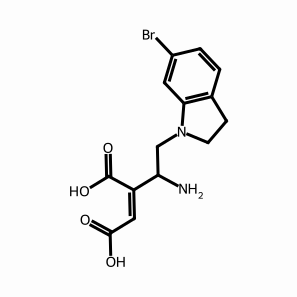 NC(CN1CCc2ccc(Br)cc21)/C(=C/C(=O)O)C(=O)O